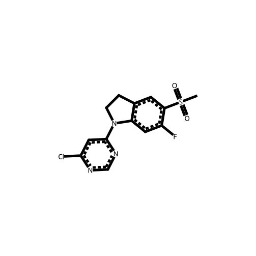 CS(=O)(=O)c1cc2c(cc1F)N(c1cc(Cl)ncn1)CC2